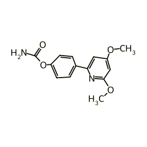 COc1cc(OC)nc(-c2ccc(OC(N)=O)cc2)c1